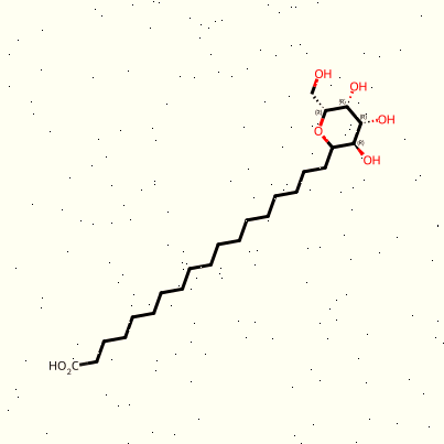 O=C(O)CCCCCCCCCCCCCCCCCC1O[C@H](CO)[C@H](O)[C@H](O)[C@H]1O